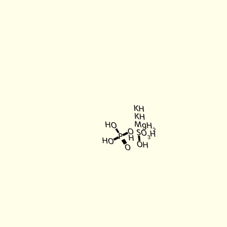 O=P(O)(O)O.O=S(=O)(O)O.[KH].[KH].[MgH2]